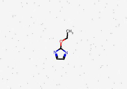 CCO[C]1N=CC=N1